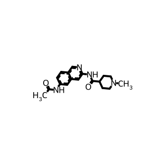 CC(=O)Nc1ccc2cnc(NC(=O)C3CCN(C)CC3)cc2c1